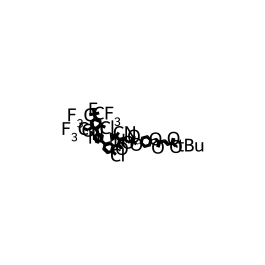 CC(C)(C)OC(=O)/C=C/C(=O)O[C@H]1CC[C@H](OC(=O)OCN(C(=O)c2cc(-c3cnn(-c4c(Cl)cc(C(F)(C(F)(F)F)C(F)(F)F)cc4OC(F)(F)F)c3)ccc2Cl)C2(C#N)CC2)CC1